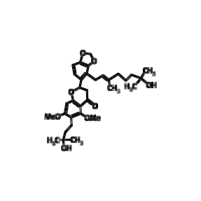 COc1cc2c(c(OC)c1CCC(C)(C)O)C(=O)CC(c1ccc3c(c1C/C=C(\C)CCCC(C)(C)O)OCO3)O2